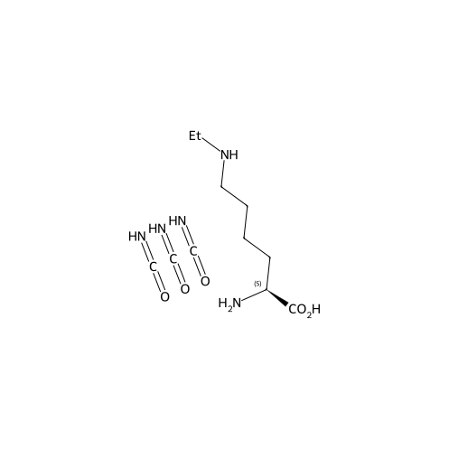 CCNCCCC[C@H](N)C(=O)O.N=C=O.N=C=O.N=C=O